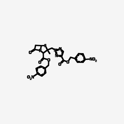 CC1(Cn2ncc(C(=O)OCc3ccc([N+](=O)[O-])cc3)n2)SC2CC(=O)N2C1C(=O)OCc1ccc([N+](=O)[O-])cc1